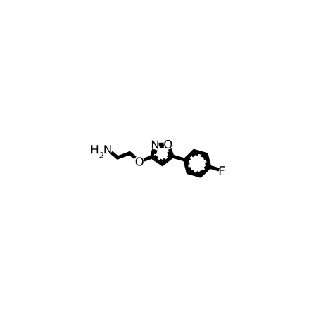 NCCOc1cc(-c2ccc(F)cc2)on1